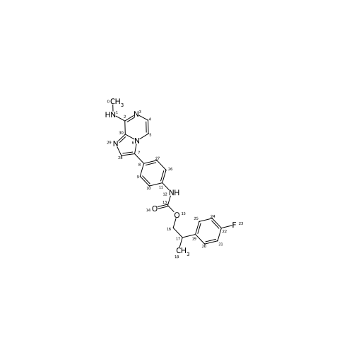 CNc1nccn2c(-c3ccc(NC(=O)OCC(C)c4ccc(F)cc4)cc3)cnc12